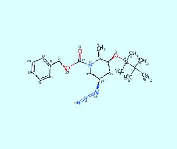 C[C@H]1[C@@H](O[Si](C)(C)C(C)(C)C)C[C@@H](N=[N+]=[N-])CN1C(=O)OCc1ccccc1